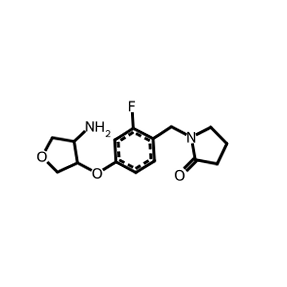 NC1COCC1Oc1ccc(CN2CCCC2=O)c(F)c1